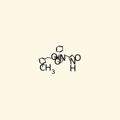 Cc1cccc(CCO[C@@H]2OCCN(CC3=CC(=O)NC3)[C@H]2c2ccccc2)c1